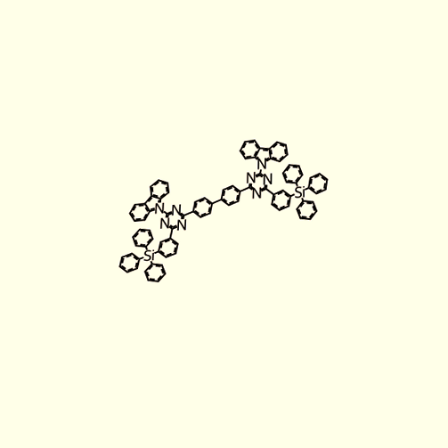 c1ccc([Si](c2ccccc2)(c2ccccc2)c2cccc(-c3nc(-c4ccc(-c5ccc(-c6nc(-c7cccc([Si](c8ccccc8)(c8ccccc8)c8ccccc8)c7)nc(-n7c8ccccc8c8ccccc87)n6)cc5)cc4)nc(-n4c5ccccc5c5ccccc54)n3)c2)cc1